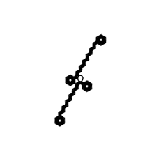 c1ccc(CCCCCCCCCCCC(OC(CCCCCCCCCCCc2ccccc2)c2ccccc2)c2ccccc2)cc1